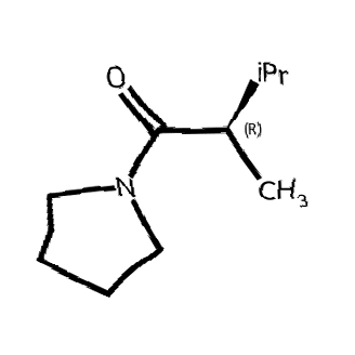 CC(C)[C@@H](C)C(=O)N1CCCC1